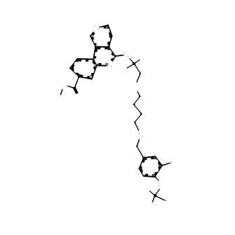 COC(=O)c1ccc2c(c1)nc(NC(C)(C)COCCCCNCc1ccc(OC(F)(F)F)c(Cl)c1)c1ccncc12